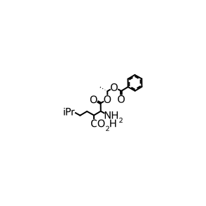 CC(C)CCC(C(=O)O)C(N)C(=O)O[C@H](C)OC(=O)c1ccccc1